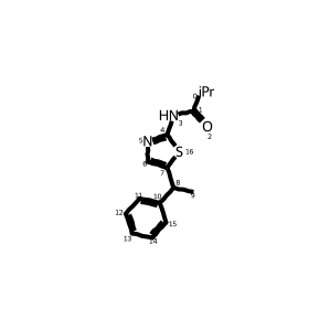 CC(C)C(=O)Nc1ncc(C(C)c2ccccc2)s1